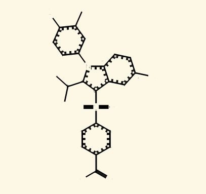 Cc1cc(-n2c(C(C)C)c(S(=O)(=O)c3ccc(C(=O)O)cc3)c3cc(F)ccc32)ccc1F